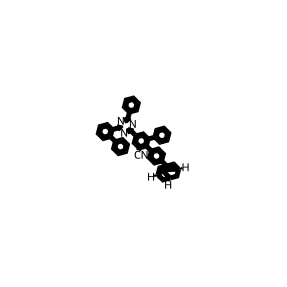 N#Cc1cc(-c2nc(-c3ccccc3)nc(-c3ccccc3-c3ccccc3)n2)cc(-c2ccccc2)c1-c1ccc(C23C[C@H]4C[C@@H](C2)C[C@@H](C3)C4)cc1